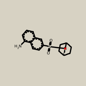 Nc1cccc2cc(S(=O)(=O)N3CC4CCC(CC4)C3)ccc12